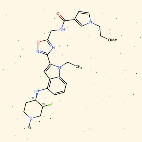 CCN1CC[C@@H](Nc2cccc3c2cc(-c2noc(CNC(=O)c4ccn(CCOC)c4)n2)n3CC(F)(F)F)[C@@H](F)C1